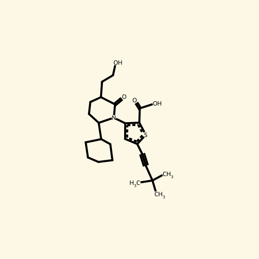 CC(C)(C)C#Cc1cc(N2C(=O)C(CCO)CCC2C2CCCCC2)c(C(=O)O)s1